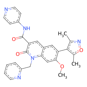 COc1cc2c(cc1-c1c(C)noc1C)cc(C(=O)Nc1ccncc1)c(=O)n2Cc1ccccn1